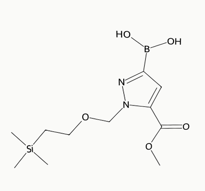 COC(=O)c1cc(B(O)O)nn1COCC[Si](C)(C)C